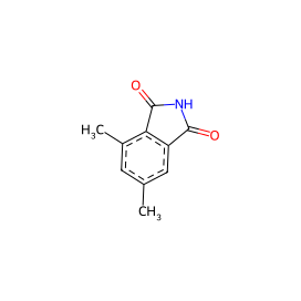 Cc1cc(C)c2c(c1)C(=O)NC2=O